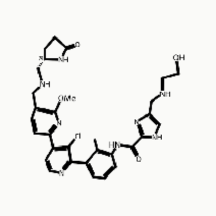 COc1nc(-c2ccnc(-c3cccc(NC(=O)c4nc(CNCCO)c[nH]4)c3C)c2Cl)ccc1CNC[C@@H]1CCC(=O)N1